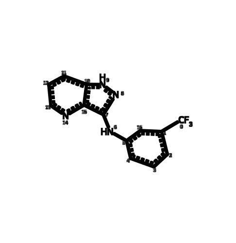 FC(F)(F)c1cccc(Nc2n[nH]c3cccnc23)c1